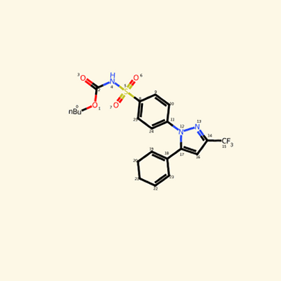 CCCCOC(=O)NS(=O)(=O)c1ccc(-n2nc(C(F)(F)F)cc2C2=CCCC=C2)cc1